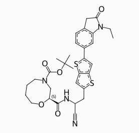 CCN1C(=O)Cc2ccc(-c3cc4sc(CC(C#N)NC(=O)[C@@H]5CN(C(=O)OC(C)(C)C)CCCCO5)cc4s3)cc21